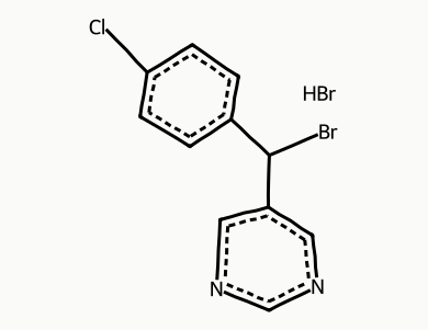 Br.Clc1ccc(C(Br)c2cncnc2)cc1